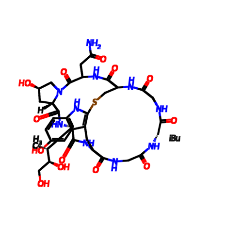 CC[C@H](C)[C@@H]1NC(=O)CNC(=O)C2Cc3c([nH]c4ccc(O)cc34)SCC(NC(=O)CNC1=O)C(=O)NC(CC(N)=O)C(=O)N1C[C@H](O)C[C@H]1C(=O)N[C@@H]([C@@H](C)[C@@H](O)CO)C(=O)N2